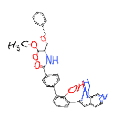 COC(=O)C(COCc1ccccc1)NC(=O)c1ccc(-c2cccc(-c3cc4ccncc4[nH]3)c2O)cc1